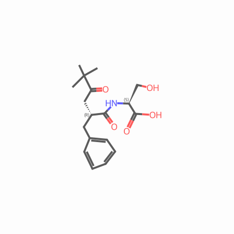 CC(C)(C)C(=O)C[C@@H](Cc1ccccc1)C(=O)N[C@@H](CO)C(=O)O